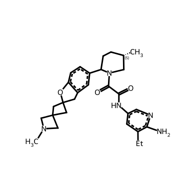 CCc1cc(NC(=O)C(=O)N2C[C@@H](C)CCC2c2ccc3c(c2)CC2(CC4(CN(C)C4)C2)O3)cnc1N